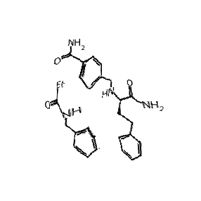 CCC(=O)NCc1cc[c]cc1.NC(=O)c1ccc(CN[C@H](CCc2ccccc2)C(N)=O)cc1